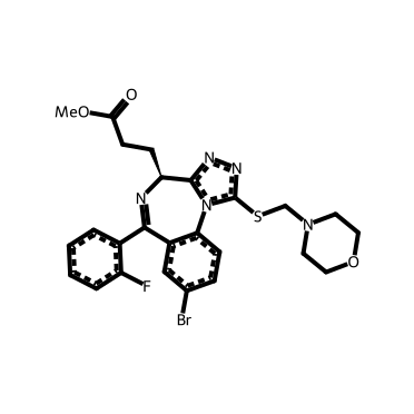 COC(=O)CC[C@@H]1N=C(c2ccccc2F)c2cc(Br)ccc2-n2c(SCN3CCOCC3)nnc21